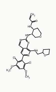 C=CC(=O)N[C@H]1CCOC[C@H]1Nc1ncc2cc(-c3c(Cl)c(OC)cc(OC)c3Cl)nc(NCC3CCCO3)c2n1